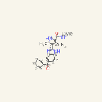 CONC(=O)c1[nH]c(C)c(-c2nc3cc(C(=O)C4=CCCC=C4)ccc3[nH]2)c1C